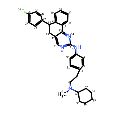 CN(CCc1ccc(Nc2ncc3c(n2)-c2ccccc2C(c2ccc(F)cc2)C3)cc1)C1CCCCC1